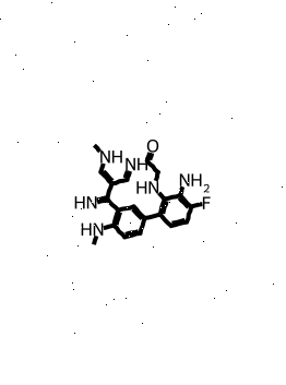 CN/C=C(\C=N)C(=N)c1cc(-c2ccc(F)c(N)c2NCC=O)ccc1NC